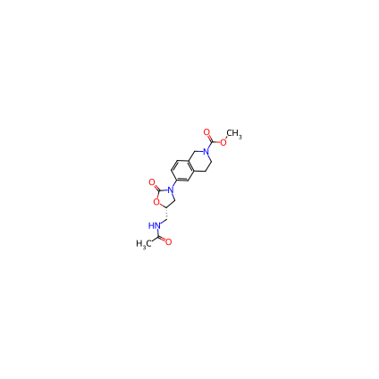 COC(=O)N1CCc2cc(N3C[C@H](CNC(C)=O)OC3=O)ccc2C1